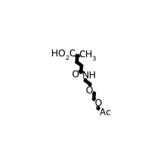 CC(=O)COCCOCCNC(=O)CCC(C)C(=O)O